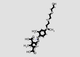 Cc1cc(N(C)CCOCCOCCO)ccc1/N=N/c1sc(C(=O)O)c(C)c1C(=O)O